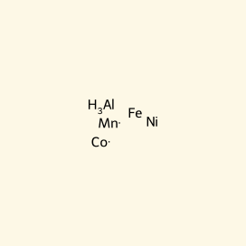 [AlH3].[Co].[Fe].[Mn].[Ni]